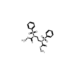 NSC(=S)N(CCN(C(=S)SN)S(=O)(=O)c1ccccc1)S(=O)(=O)c1ccccc1